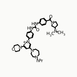 CCCN1CCCN(C2=CN(c3ccc(NC(=O)Nc4ccc(C(=O)N5CCC(N(C)C)C5)cc4)cc3)SC(N3CCOCC3)=C2)CC1